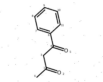 CC(=O)CC(=O)c1cc[c]cc1